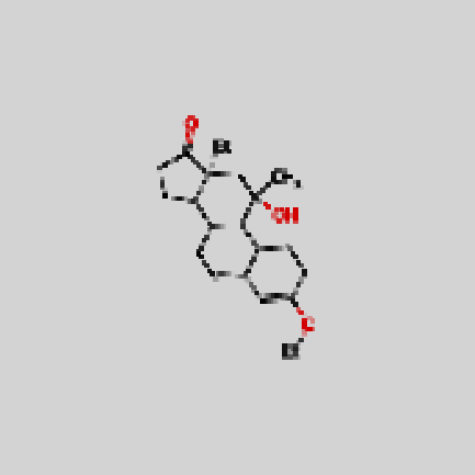 CCOC1=CC2=CCC3C(C2CC1)C(C)(O)C[C@]1(CC)C(=O)CCC31